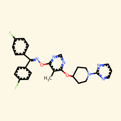 Cc1c(ON=C(c2ccc(F)cc2)c2ccc(F)cc2)ncnc1OC1CCN(c2ncccn2)CC1